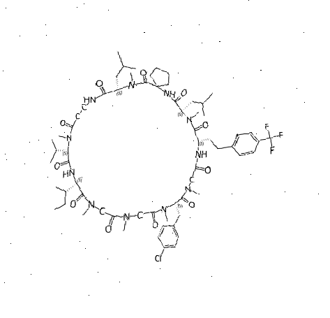 CCC(C)[C@@H]1NC(=O)[C@H](C(C)C)N(C)C(=O)CCNC(=O)[C@H](CC(C)C)N(C)C(=O)C2(CCCC2)NC(=O)[C@H](CC(C)C)N(C)C(=O)[C@H](CCc2ccc(C(F)(F)F)cc2)NC(=O)CN(C)C(=O)[C@H](Cc2ccc(Cl)cc2)N(C)C(=O)CN(C)C(=O)CN(C)C1=O